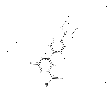 CCN(CC)c1ccc(-c2cc(C)cc(C(=O)O)n2)cc1